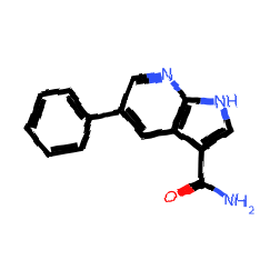 NC(=O)c1c[nH]c2ncc(-c3ccccc3)cc12